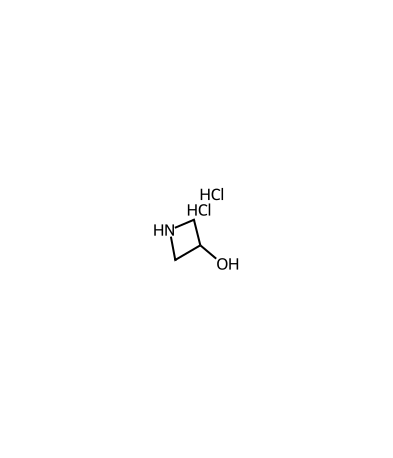 Cl.Cl.OC1CNC1